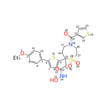 CCOc1ccc(-c2ccc(C3(CC(=O)NO)CCN(C(=O)c4ccsc4)CCS3(=O)=O)s2)cc1